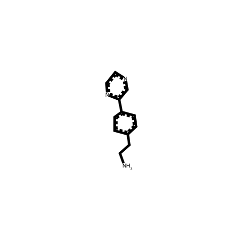 NCCc1ccc(-c2cnccn2)cc1